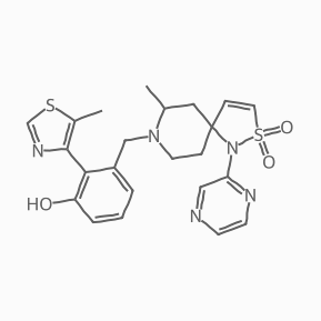 Cc1scnc1-c1c(O)cccc1CN1CCC2(C=CS(=O)(=O)N2c2cnccn2)CC1C